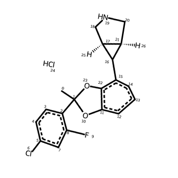 CC1(c2ccc(Cl)cc2F)Oc2cccc(C3[C@H]4CNC[C@@H]34)c2O1.Cl